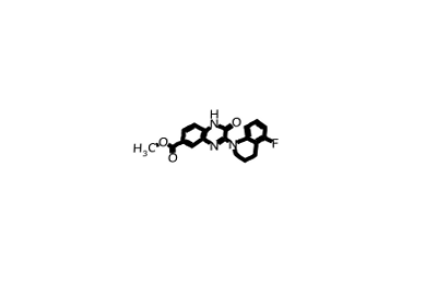 COC(=O)c1ccc2[nH]c(=O)c(N3CCCc4c(F)cccc43)nc2c1